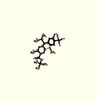 CC[C@@H]1CN(C(=O)OC(C)(C)C)[C@@H](C)CN1C(c1ccc(C(F)(F)F)c(F)c1)C(C)C